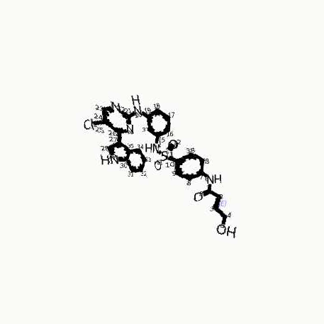 O=C(/C=C/CO)Nc1ccc(S(=O)(=O)Nc2cccc(Nc3ncc(Cl)c(-c4c[nH]c5ccccc45)n3)c2)cc1